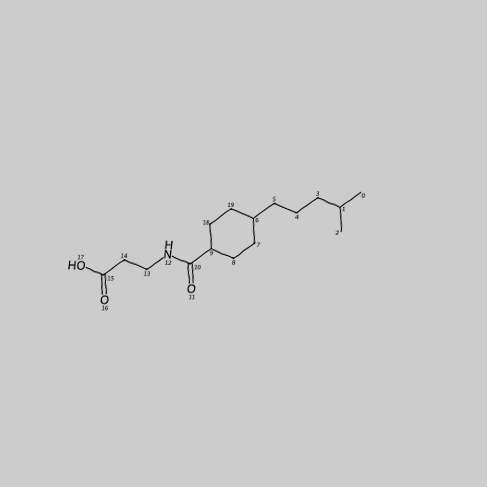 CC(C)CCCC1CCC(C(=O)NCCC(=O)O)CC1